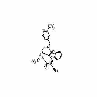 Cc1cc(CN2CC[C@@H]3[C@@H](C)C(=O)C(C#N)=C[C@@]3(c3ccccc3)C2=O)ccn1